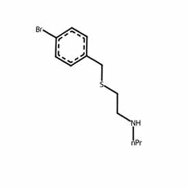 CCCNCCSCc1ccc(Br)cc1